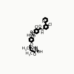 CC(C)(COc1ccc(NS(=O)(=O)c2ccc(C(=O)Nc3ccc(Cl)c(-c4ccccn4)c3)c(Cl)c2)cc1)CC(C)(C)C(=O)NO